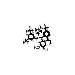 CCC(c1ccc(C(F)(F)F)cc1CN(Cc1cc(C(F)(F)F)cc(C(F)(F)F)c1)c1nnn(C)n1)N1CC[C@@H](O)[C@H](O)C1